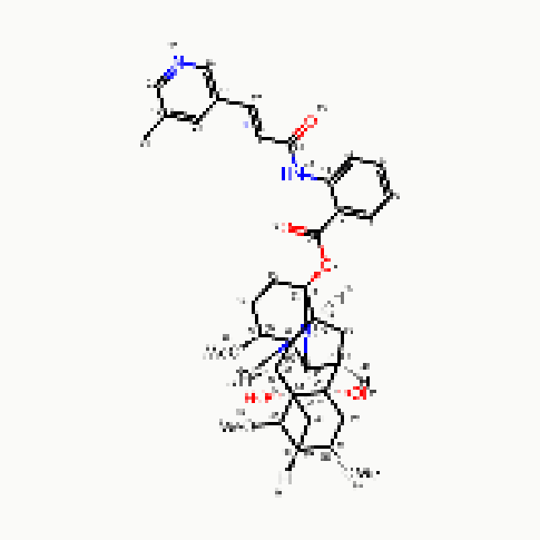 CCN1C[C@]2(OC(=O)c3ccccc3NC(=O)/C=C/c3cncc(C)c3)CC[C@H](OC)[C@]34C1[C@@H](C[C@H]23)[C@@]1(O)C[C@H](OC)[C@H]2C[C@@H]4[C@]1(O)C2OC